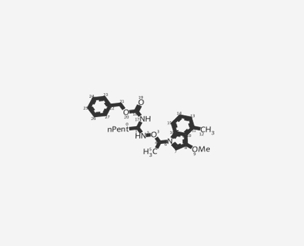 CCCCCC(NOC(C)n1[c]c(OC)c2c(C)cccc21)NC(=O)OCc1ccccc1